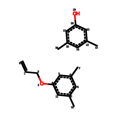 C=CCOc1cc(C)cc(C)c1.Cc1cc(C)cc(O)c1